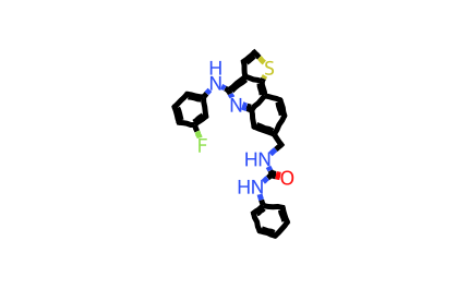 O=C(NCc1ccc2c(c1)nc(Nc1cccc(F)c1)c1ccsc12)Nc1ccccc1